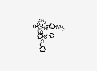 CCOC(=O)C(Cc1ccc(OCc2ccccc2)c(OCc2ccccc2)c1)NC(=O)NCc1ccc(N)cc1